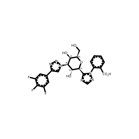 O=C(O)c1ccccc1-n1ncnc1[C@@H]1O[C@H](CO)[C@H](O)[C@H](n2cc(-c3cc(F)c(F)c(F)c3)nn2)[C@H]1O